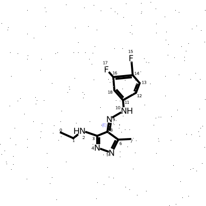 CCNC1=NN=C(C)/C1=N\Nc1ccc(F)c(F)c1